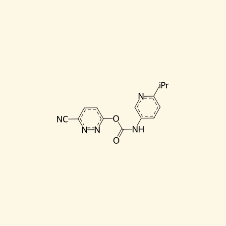 CC(C)c1ccc(NC(=O)Oc2ccc(C#N)nn2)cn1